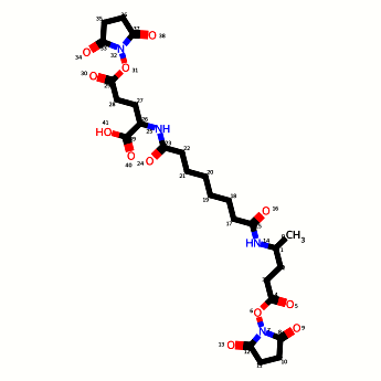 CC(CCC(=O)ON1C(=O)CCC1=O)NC(=O)CCCCCCC(=O)NC(CCC(=O)ON1C(=O)CCC1=O)C(=O)O